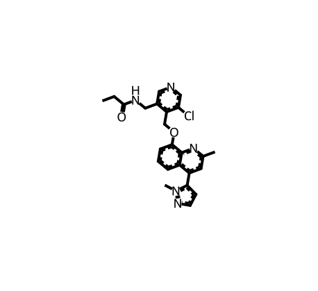 CCC(=O)NCc1cncc(Cl)c1COc1cccc2c(-c3ccnn3C)cc(C)nc12